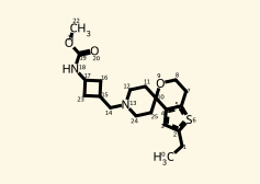 CCc1cc2c(s1)CCOC21CCN(CC2CC(NC(=O)OC)C2)CC1